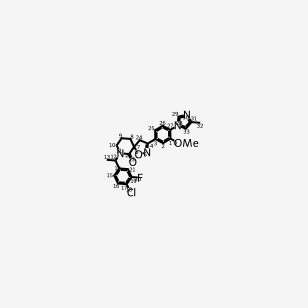 COc1cc(C2=NOC3(CCCN(C(C)c4ccc(Cl)c(F)c4)C3=O)C2)ccc1-n1cnc(C)c1